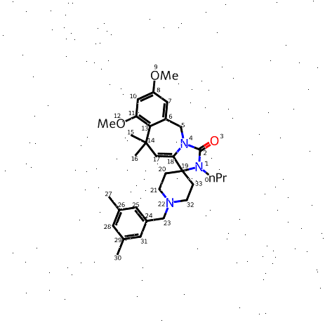 CCCN1C(=O)N2Cc3cc(OC)cc(OC)c3C(C)(C)C=C2C12CCN(Cc1cc(C)cc(C)c1)CC2